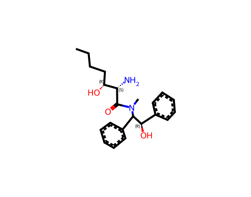 CCCC[C@@H](O)[C@H](N)C(=O)N(C)C(c1ccccc1)[C@H](O)c1ccccc1